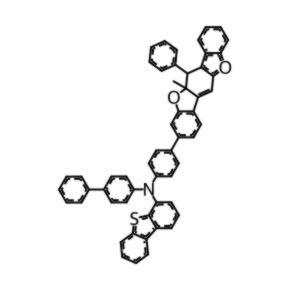 CC12Oc3cc(-c4ccc(N(c5ccc(-c6ccccc6)cc5)c5cccc6c5sc5ccccc56)cc4)ccc3C1=Cc1oc3ccccc3c1C2c1ccccc1